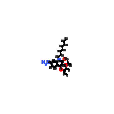 CC=C(CC)Oc1c(OC(C)C)c(=O)n(CCCCCCCC)c2cc(N)ccc12